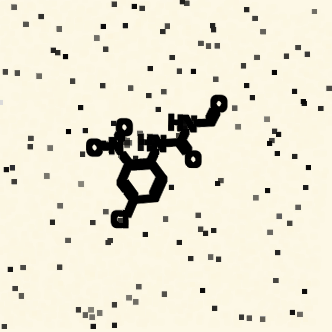 O=CNC(=O)Nc1ccc(Cl)cc1[N+](=O)[O-]